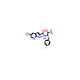 CN(C)C(=O)[C@H](Cc1ccc(F)cc1)NC(=O)c1cc2cc(Cl)cnc2[nH]1